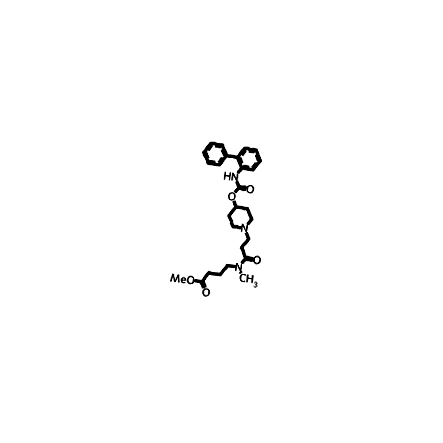 COC(=O)CCCN(C)C(=O)CCN1CCC(OC(=O)Nc2ccccc2-c2ccccc2)CC1